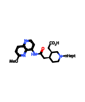 CCCCCCCN1CC[C@@H](CC(=O)Nc2ccnc3ccc(OC)nc23)[C@@H](CC(=O)O)C1